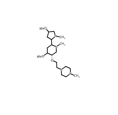 COC1CC(C2CC(OC)[C@@H](OCCN3CCN(C)CC3)CN2C)N(C)C1